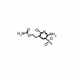 CS(=O)(=O)c1cc(CCOC(N)=O)c(Cl)nc1N